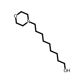 OCCCCCCCCCN1CCOCC1